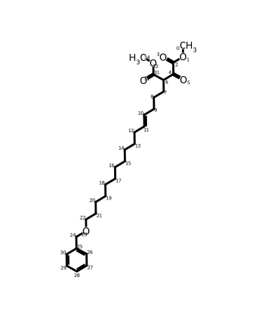 COC(=O)C(=O)C(CCCC=CCCCCCCCCCCCOCc1ccccc1)C(=O)OC